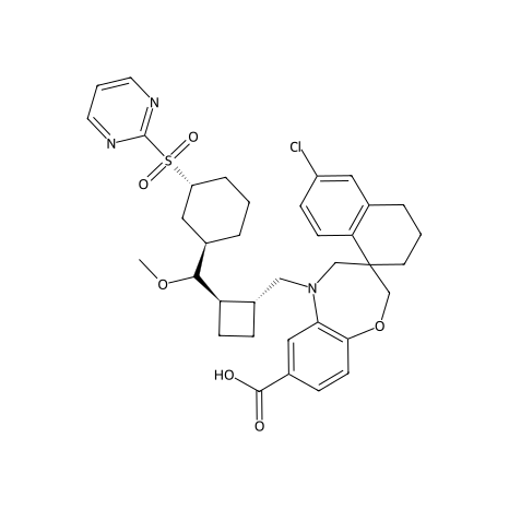 COC([C@@H]1CCC[C@@H](S(=O)(=O)c2ncccn2)C1)[C@@H]1CC[C@H]1CN1CC2(CCCc3cc(Cl)ccc32)COc2ccc(C(=O)O)cc21